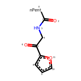 CCCCCC(=O)NCC(=O)c1ccco1